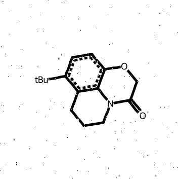 CC(C)(C)c1ccc2c3c1CCCN3C(=O)CO2